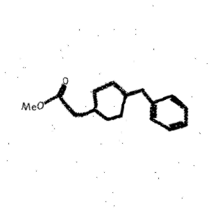 COC(=O)CC1[CH]CC(Cc2ccccc2)CC1